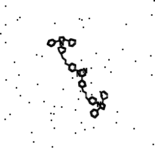 C1=CCC(c2ccc(-c3ccccc3)n2-c2ccc(CCCc3ccc(-c4cncc(-c5ccc(CCCC6=CC=C(n7c(-c8ccccc8)ccc7-c7ccccc7)CC6)cc5)n4)cc3)cc2)C=C1